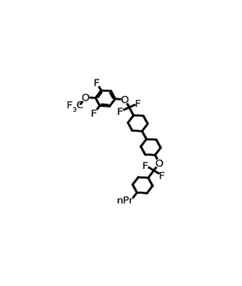 CCCC1CCC(C(F)(F)OC2CCC(C3CCC(C(F)(F)Oc4cc(F)c(OC(F)(F)F)c(F)c4)CC3)CC2)CC1